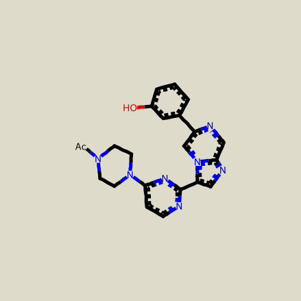 CC(=O)N1CCN(c2ccnc(-c3cnc4cnc(-c5cccc(O)c5)cn34)n2)CC1